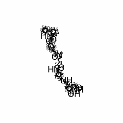 CN(CCCCC(=O)Nc1ccc(CNCCc2ccc(O)c3[nH]c(=O)ccc23)cc1)C(=O)CCN1CCC(OC(=O)Nc2ccccc2-c2ccccc2)CC1